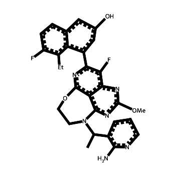 CCc1c(F)ccc2cc(O)cc(-c3nc4c5c(nc(OC)nc5c3F)N(C(C)c3cccnc3N)CCO4)c12